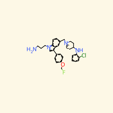 NCCCn1cc(-c2ccc(OCF)cc2)c2cc(CN3CCC(Nc4ccccc4Cl)CC3)ccc21